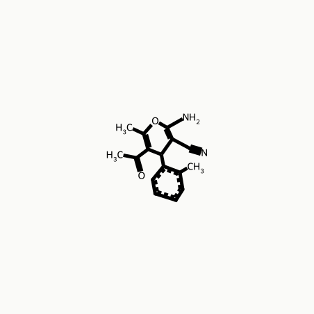 CC(=O)C1=C(C)OC(N)=C(C#N)C1c1ccccc1C